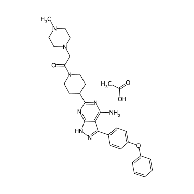 CC(=O)O.CN1CCN(CC(=O)N2CCC(c3nc(N)c4c(-c5ccc(Oc6ccccc6)cc5)n[nH]c4n3)CC2)CC1